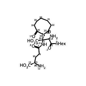 CCCCCCC(=O)C(N)[C@@](NC(=O)CC[C@@H](N)C(=O)O)(C(=O)O)N1C(=O)CCCCCC1=O